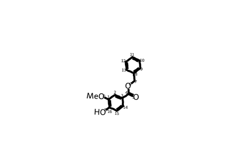 COc1cc(C(=O)OCc2ccccc2)ccc1O